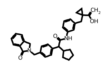 C=C(O)C1(Cc2cccc(NC(=O)C(c3ccc(CN4Cc5ccccc5C4=O)cc3)C3CCCC3)c2)CC1